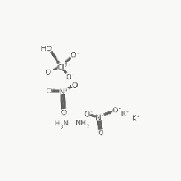 N.N.O=[N+]([O-])[O-].O=[N+]([O-])[O-].[K+].[K+].[O-][Cl+3]([O-])([O-])O